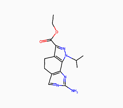 CCOC(=O)c1nn(C(C)C)c2c1CCc1cnc(N)nc1-2